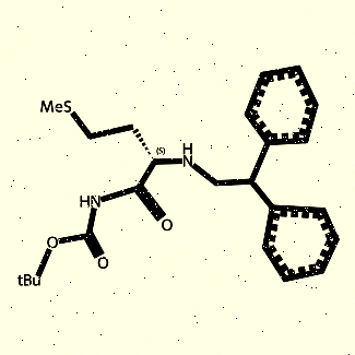 CSCC[C@H](NCC(c1ccccc1)c1ccccc1)C(=O)NC(=O)OC(C)(C)C